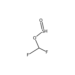 O=[SH]OC(F)F